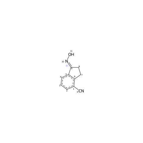 N#Cc1cccc2c1CC/C2=N\O